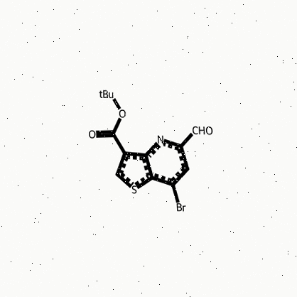 CC(C)(C)OC(=O)c1csc2c(Br)cc(C=O)nc12